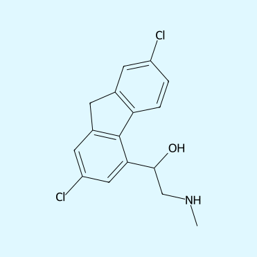 CNCC(O)c1cc(Cl)cc2c1-c1ccc(Cl)cc1C2